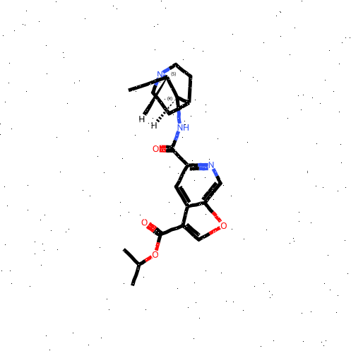 CC(C)OC(=O)c1coc2cnc(C(=O)N[C@@H]3C4CCN(CC4)[C@H]3C)cc12